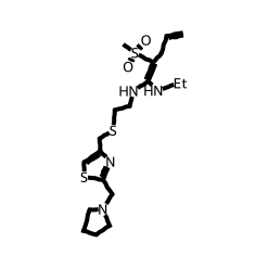 C=CCC(=C(NCC)NCCSCc1csc(CN2CCCC2)n1)S(C)(=O)=O